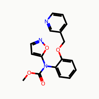 COC(=O)N(c1ccno1)c1ccccc1OCc1cccnc1